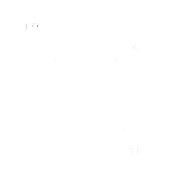 Cc1cc(O)cc(C)c1C(=O)c1ccc(O)cc1